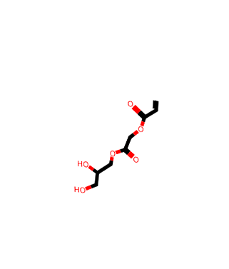 C=CC(=O)OCC(=O)OCC(O)CO